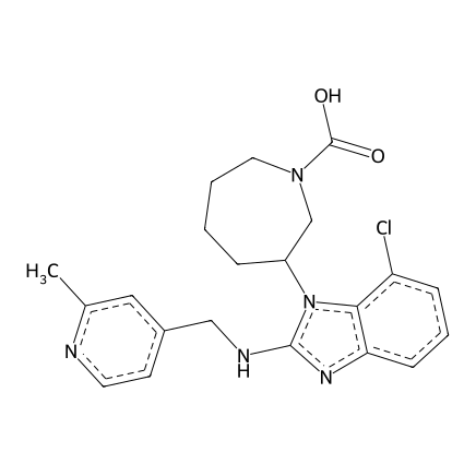 Cc1cc(CNc2nc3cccc(Cl)c3n2C2CCCCN(C(=O)O)C2)ccn1